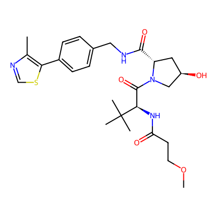 COCCC(=O)N[C@H](C(=O)N1C[C@H](O)C[C@H]1C(=O)NCc1ccc(-c2scnc2C)cc1)C(C)(C)C